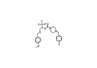 COc1ccc(COCC(OC(=O)N2CCN(Cc3ccc(F)cc3)CC2)C(F)(F)F)cc1